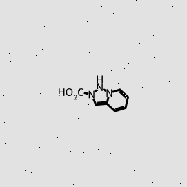 O=C(O)N1C=C2C=CC=CN2N1